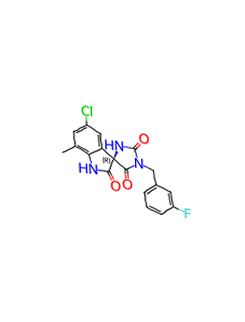 Cc1cc(Cl)cc2c1NC(=O)[C@]21NC(=O)N(Cc2cccc(F)c2)C1=O